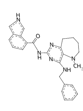 CN1CCCCc2nc(NC(=O)c3cccc4c[nH]cc34)nc(NCc3ccccc3)c21